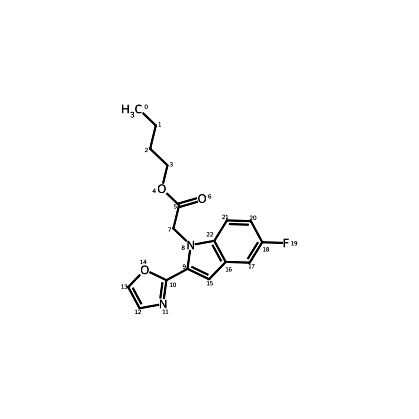 CCCCOC(=O)Cn1c(-c2ncco2)cc2cc(F)ccc21